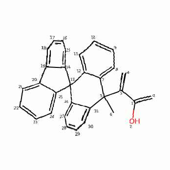 C=C(O)C(=C)C1(C)c2ccccc2C2(c3ccccc3-c3ccccc32)c2ccccc21